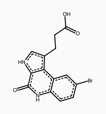 O=C(O)CCc1c[nH]c2c(=O)[nH]c3ccc(Br)cc3c12